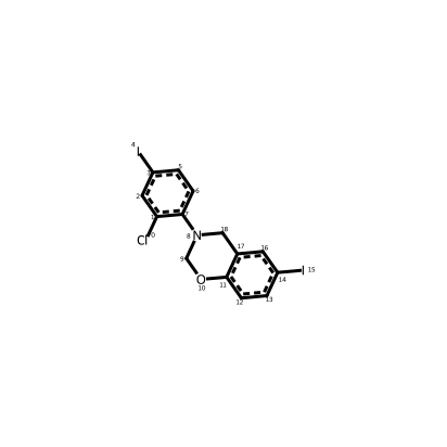 Clc1cc(I)ccc1N1COc2ccc(I)cc2C1